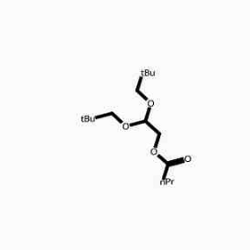 CCCC(=O)OCC(OCC(C)(C)C)OCC(C)(C)C